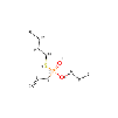 C=CCP(=O)(OCCC)SCCCC